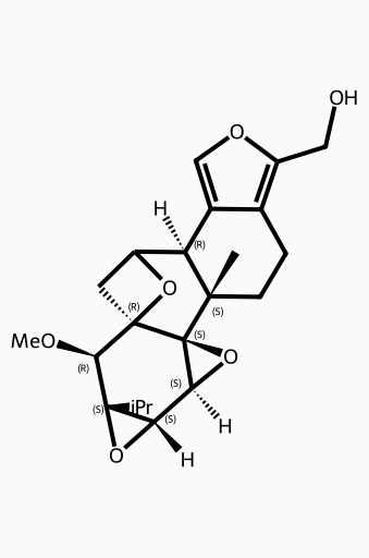 CO[C@@H]1[C@@]2(C(C)C)O[C@H]2[C@@H]2O[C@@]23[C@@]2(C)CCc4c(coc4CO)[C@@H]2C2C[C@@]13O2